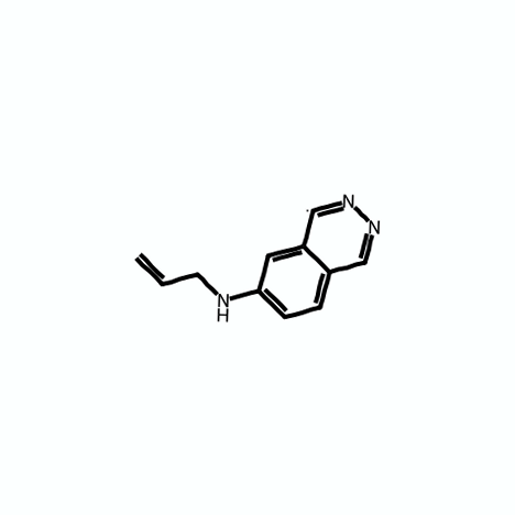 C=CCNc1ccc2cnn[c]c2c1